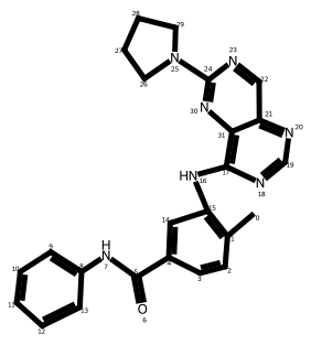 Cc1ccc(C(=O)Nc2ccccc2)cc1Nc1ncnc2cnc(N3CCCC3)nc12